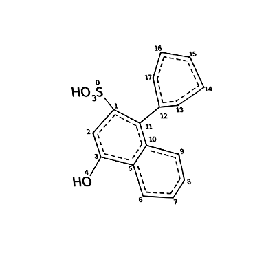 O=S(=O)(O)c1cc(O)c2ccccc2c1-c1ccccc1